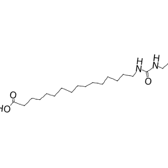 CCNC(=O)NCCCCCCCCCCCCCCCC(=O)O